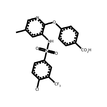 Cc1cnc(Oc2ccc(C(=O)O)cc2)c(NS(=O)(=O)c2ccc(Cl)c(C(F)(F)F)c2)c1